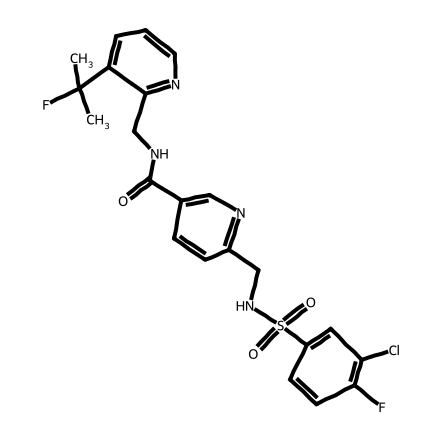 CC(C)(F)c1cccnc1CNC(=O)c1ccc(CNS(=O)(=O)c2ccc(F)c(Cl)c2)nc1